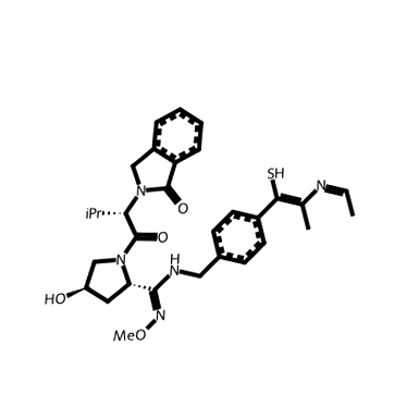 C/C=N\C(C)=C(/S)c1ccc(CN/C(=N/OC)[C@@H]2C[C@@H](O)CN2C(=O)[C@H](C(C)C)N2Cc3ccccc3C2=O)cc1